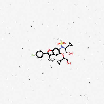 CS(=O)(=O)N(c1cc2oc(-c3ccc(F)cc3)c(C(=O)O)c2cc1OC(CO)C1CC1)C(CO)C1CC1